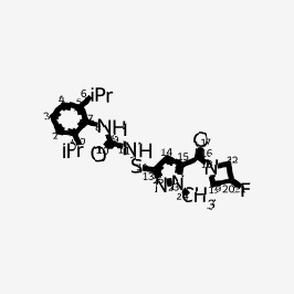 CC(C)c1cccc(C(C)C)c1NC(=O)NSc1cc(C(=O)N2CC(F)C2)n(C)n1